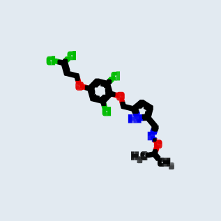 CC(C)ON=Cc1ccc(COc2c(Cl)cc(OCC=C(Cl)Cl)cc2Cl)[nH]1